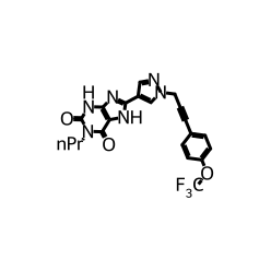 CCCn1c(=O)[nH]c2nc(-c3cnn(CC#Cc4ccc(OC(F)(F)F)cc4)c3)[nH]c2c1=O